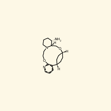 N[C@H]1CCCN2CCOc3ncccc3[C@H]3CC[C@H](CC3)OC[C@@H]12